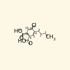 CCCCc1cc(C(=O)O)c(C(=O)O)cc1Cl